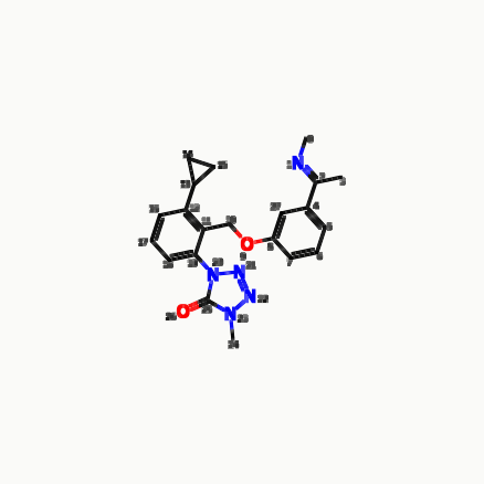 CN=C(C)c1cccc(OCc2c(C3CC3)cccc2-n2nnn(C)c2=O)c1